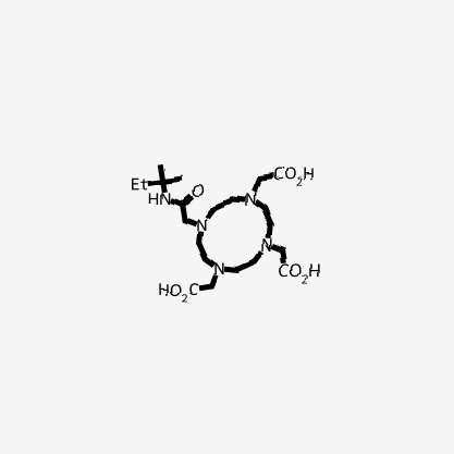 CCC(C)(C)NC(=O)CN1CCN(CC(=O)O)CCN(CC(=O)O)CCN(CC(=O)O)CC1